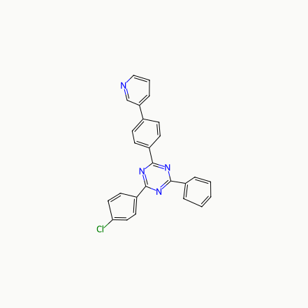 Clc1ccc(-c2nc(-c3ccccc3)nc(-c3ccc(-c4cccnc4)cc3)n2)cc1